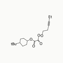 CCC#CCCOOC(=O)C(=O)OC1CCC(C(C)(C)C)CC1